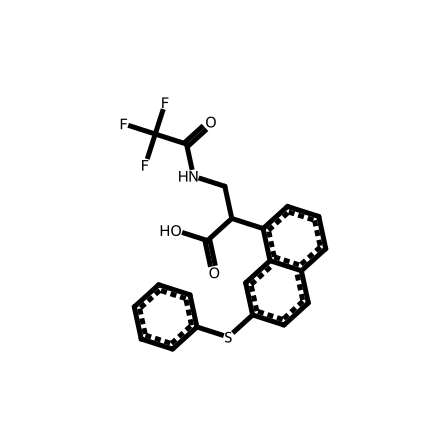 O=C(O)C(CNC(=O)C(F)(F)F)c1cccc2ccc(Sc3ccccc3)cc12